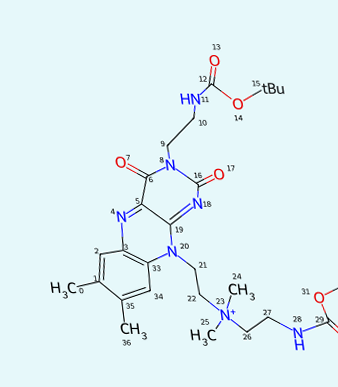 Cc1cc2nc3c(=O)n(CCNC(=O)OC(C)(C)C)c(=O)nc-3n(CC[N+](C)(C)CCNC(=O)OC(C)(C)C)c2cc1C